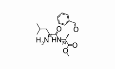 COC(=O)[C@H](C)NC(=O)[C@@H](N)CC(C)C.O=Cc1ccccc1